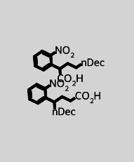 CCCCCCCCCCC(CCC(=O)O)c1ccccc1[N+](=O)[O-].CCCCCCCCCCCCC(C(=O)O)c1ccccc1[N+](=O)[O-]